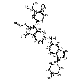 C=CCn1c(=O)c2cnc(Nc3ccc4c(ccn4C4CCN(C)CC4)c3)nc2n1-c1ccc(=O)n(C(C)C)n1